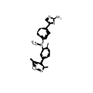 CCN(c1ccc(-c2csc(N)n2)cc1)c1cc(-c2c(C)noc2C)ccc1C